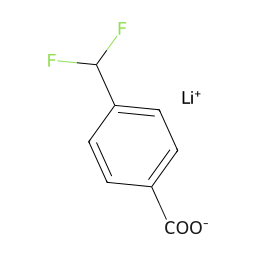 O=C([O-])c1ccc(C(F)F)cc1.[Li+]